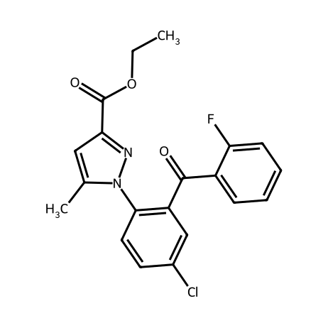 CCOC(=O)c1cc(C)n(-c2ccc(Cl)cc2C(=O)c2ccccc2F)n1